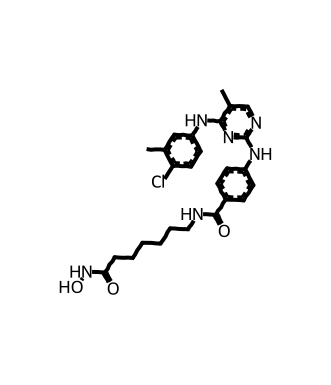 Cc1cc(Nc2nc(Nc3ccc(C(=O)NCCCCCCC(=O)NO)cc3)ncc2C)ccc1Cl